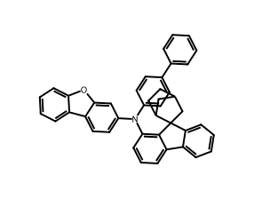 c1ccc(-c2ccc(N(c3ccc4c(c3)oc3ccccc34)c3cccc4c3C3(CC5CCC3C5)c3ccccc3-4)cc2)cc1